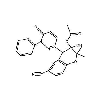 CC(=O)OC1(O)C(c2ccc(=O)n(-c3ccccc3)n2)c2cc(C#N)ccc2OC1(C)C